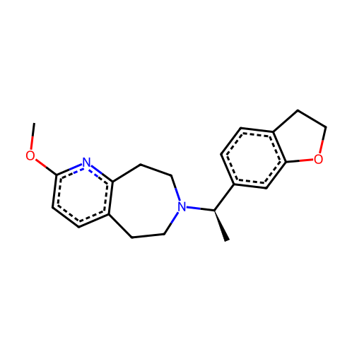 COc1ccc2c(n1)CCN([C@H](C)c1ccc3c(c1)OCC3)CC2